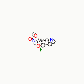 COc1c(-c2ccc(OC3CCN(C(=O)[C@H]4CCCO4)CC3)c(F)c2)ccc2cccnc12